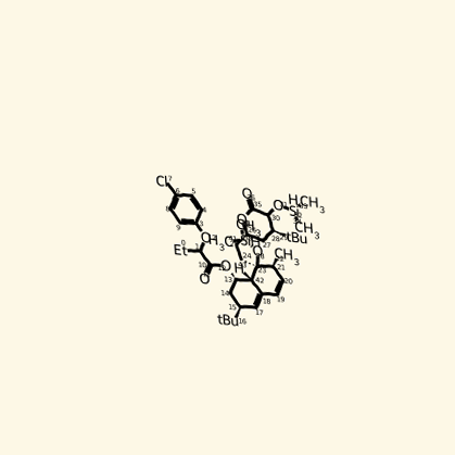 CCC(Oc1ccc(Cl)cc1)C(=O)O[C@H]1C[C@H](C(C)(C)C)C=C2C=C[C@H](C)[C@](CC[C@@H]3C[C@H](C(C)(C)C)C(O[SiH](C)C)C(=O)O3)(O[SiH](C)C)[C@H]21